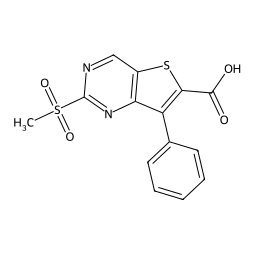 CS(=O)(=O)c1ncc2sc(C(=O)O)c(-c3ccccc3)c2n1